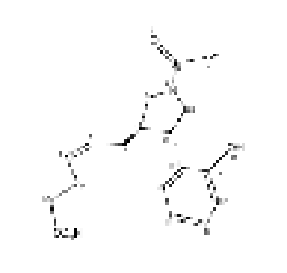 CC(C)C(=O)N1C[C@H](C/C=C\CCC(=O)O)[C@@H](c2ccccc2O)C1